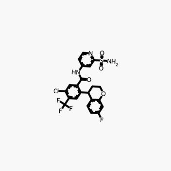 NS(=O)(=O)c1cc(NC(=O)c2cc(Cl)c(C(F)(F)F)cc2C2CCOc3cc(F)ccc32)ccn1